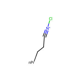 CCCCCC#[N+]Cl